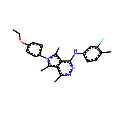 CCOc1ccc(-n2c(C)c3c(C)nnc(Nc4ccc(C)c(F)c4)c3c2C)cc1